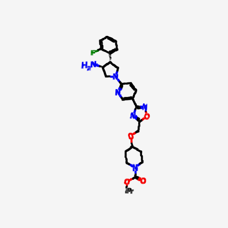 CC(C)OC(=O)N1CCC(OCc2nc(-c3ccc(N4C[C@@H](N)[C@H](c5ccccc5F)C4)nc3)no2)CC1